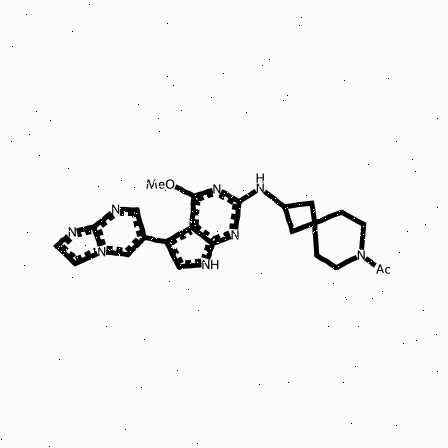 COc1nc(NC2CC3(CCN(C(C)=O)CC3)C2)nc2[nH]cc(-c3cnc4nccn4c3)c12